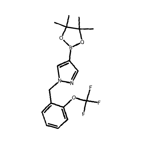 CC1(C)OB(c2cnn(Cc3ccccc3OC(F)(F)F)c2)OC1(C)C